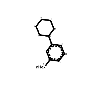 CCCCCCc1[c]c(C2CCCCC2)ccc1